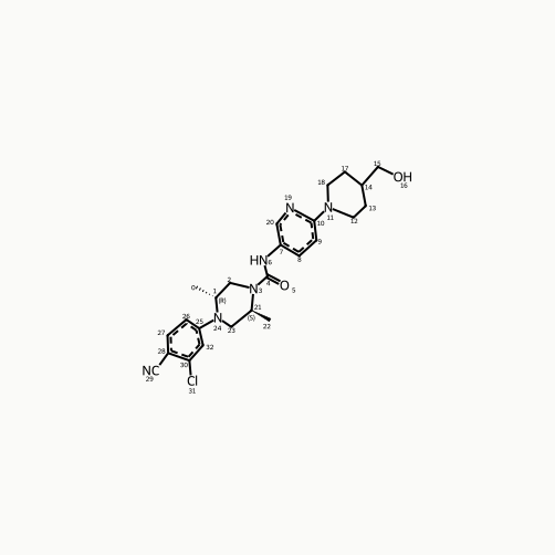 C[C@@H]1CN(C(=O)Nc2ccc(N3CCC(CO)CC3)nc2)[C@@H](C)CN1c1ccc(C#N)c(Cl)c1